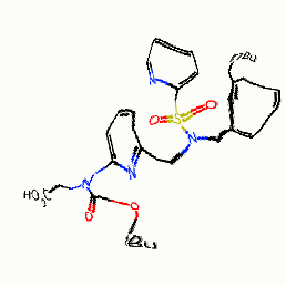 CCCCc1cccc(CN(Cc2cccc(N(CC(=O)O)C(=O)OC(C)(C)C)n2)S(=O)(=O)c2ccccn2)c1